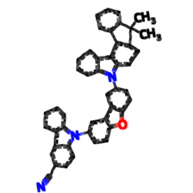 CC1(C)c2ccccc2-c2c1ccc1c2c2ccccc2n1-c1ccc2oc3ccc(-n4c5ccccc5c5cc(C#N)ccc54)cc3c2c1